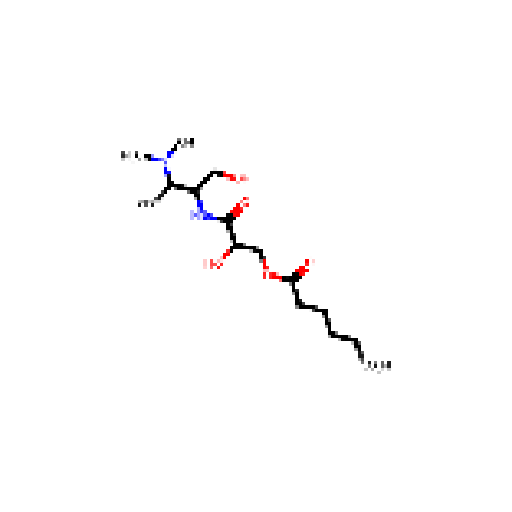 CCC[C](C(CO)NC(=O)C(O)COC(=O)CCCCC(=O)O)N(C)C